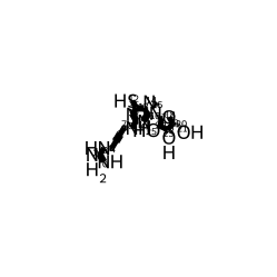 N=C(N)NCC#CCNc1nc(S)c2ncn([C@@H]3O[C@H](CO)C(O)[C@@H]3O)c2n1